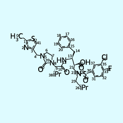 Cc1nc(CN2CCN([C@H](C(=O)N[C@@H](Cc3ccccc3)[C@@H](O)CN(CC(C)C)S(=O)(=O)c3ccc(F)c(Cl)c3)C(C)C)C2=O)cs1